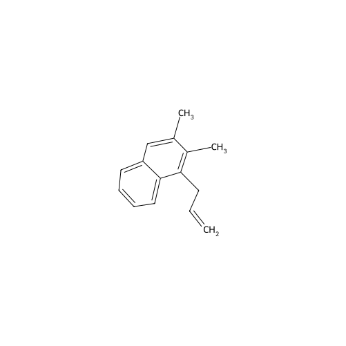 C=CCc1c(C)c(C)cc2ccccc12